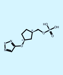 O=P(O)(O)OC[C@@H]1CC[C@H](Oc2cnsn2)C1